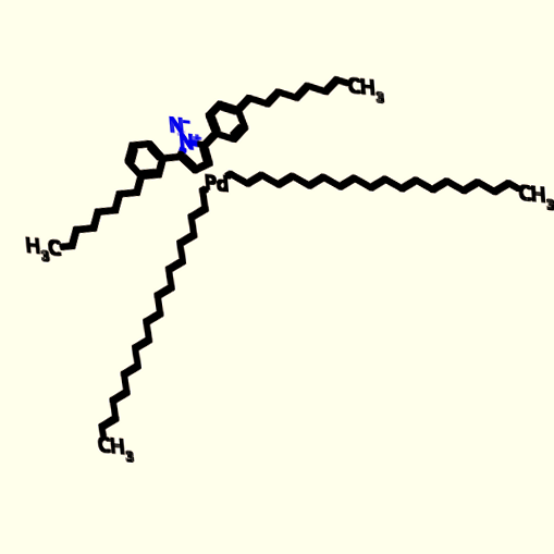 CCCCCCCCCCCCCCCCCCC[CH2][Pd][CH2]CCCCCCCCCCCCCCCCCCC.CCCCCCCCc1ccc(C2=CC=C(c3cccc(CCCCCCCC)c3)[N+]2=[N-])cc1